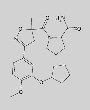 COc1ccc(C2=NOC(C)(C(=O)N3CCCC3C(N)=O)C2)cc1OC1CCCC1